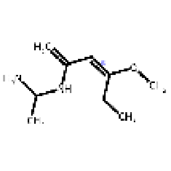 C=C(/C=C(\CC)OC)NC(C)N